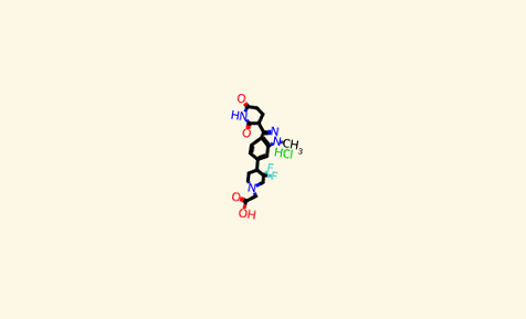 Cl.Cn1nc(C2CCC(=O)NC2=O)c2ccc(C3CCN(CC(=O)O)CC3(F)F)cc21